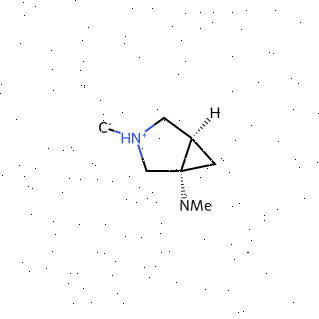 [CH2-][NH+]1C[C@H]2C[C@@]2(NC)C1